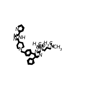 CN(C)CCCN(c1ncc(-c2ccccc2)c(-c2ccc(CN3CCC(c4nnc(-c5ccccn5)[nH]4)CC3)cc2)n1)S(C)(=O)=O